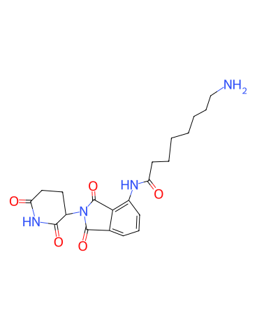 NCCCCCCCC(=O)Nc1cccc2c1C(=O)N(C1CCC(=O)NC1=O)C2=O